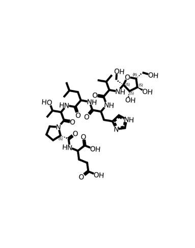 CC(C)CC(NC(=O)C(Cc1c[nH]cn1)NC(=O)C(N[C@@]1(CO)O[C@H](CO)[C@@H](O)[C@@H]1O)C(C)C)C(=O)NC(C(=O)N1CCC[C@H]1C(=O)NC(CCC(=O)O)C(=O)O)C(C)O